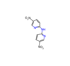 O=[N+]([O-])c1ccc(Nc2ccc([N+](=O)[O-])cn2)nc1